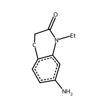 CCN1C(=O)CCc2ccc(N)cc21